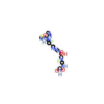 O=C1CCC(Nc2ccc(N3CCC(O)(CC(=O)N4CCN(c5ccc(-c6ccc7cn(C(C(=O)Nc8nccs8)c8ncn9c8CCC9)nc7c6F)cn5)CC4)CC3)c(F)c2)C(=O)N1